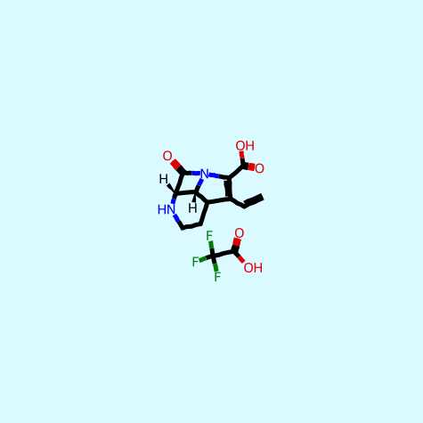 C=CC1=C(C(=O)O)N2C(=O)[C@H]3NCCC1[C@H]32.O=C(O)C(F)(F)F